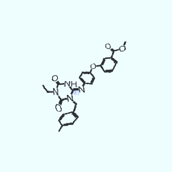 CCn1c(=O)[nH]/c(=N\c2ccc(Oc3cccc(C(=O)OC)c3)cc2)n(Cc2ccc(C)cc2)c1=O